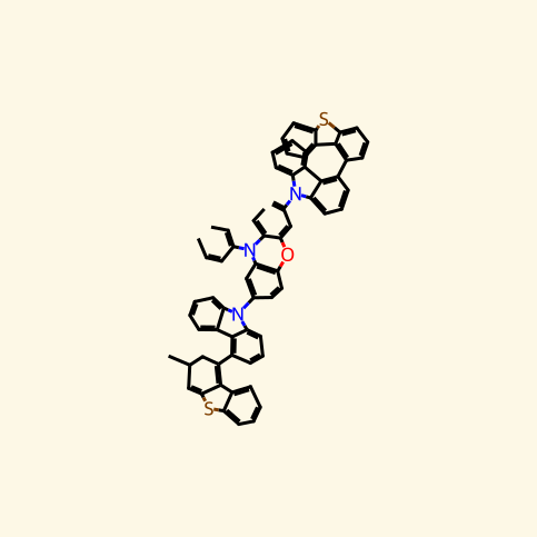 C=C(/C=C1/Oc2ccc(-n3c4ccccc4c4c(C5=c6c(sc7ccccc67)=CC(C)C5)cccc43)cc2N(C(/C=C\C)=C/C)/C1=C/C)n1c2ccccc2c2c(-c3cccc4sc5ccccc5c34)cccc21